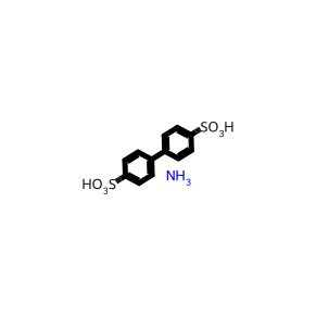 N.O=S(=O)(O)c1ccc(-c2ccc(S(=O)(=O)O)cc2)cc1